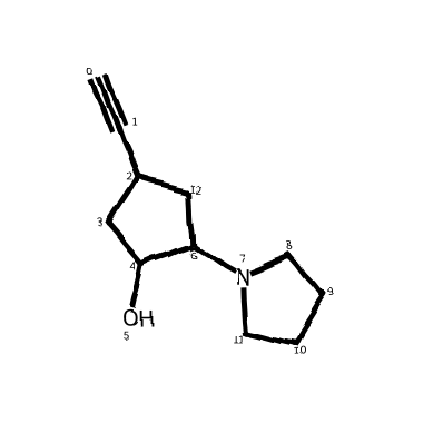 C#CC1CC(O)C(N2CCCC2)C1